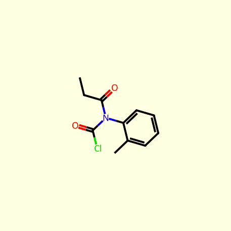 CCC(=O)N(C(=O)Cl)c1ccccc1C